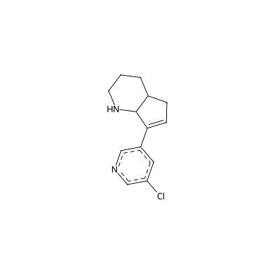 Clc1cncc(C2=CCC3CCCNC23)c1